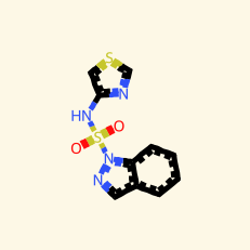 O=S(=O)(Nc1cscn1)n1ncc2ccccc21